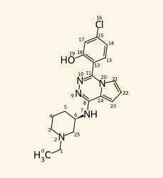 CCN1CCC[C@@H](Nc2nnc(-c3ccc(Cl)cc3O)n3cccc23)C1